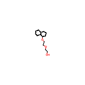 OCCOCCOc1cccc2[c]cccc12